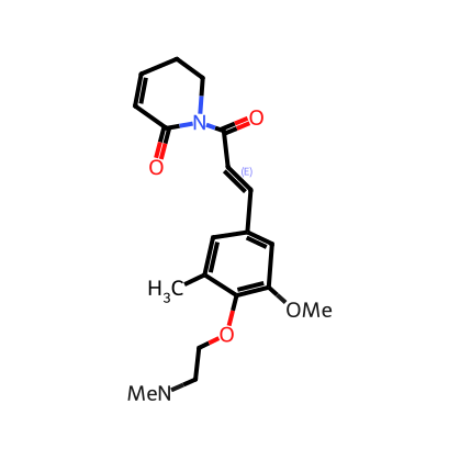 CNCCOc1c(C)cc(/C=C/C(=O)N2CCC=CC2=O)cc1OC